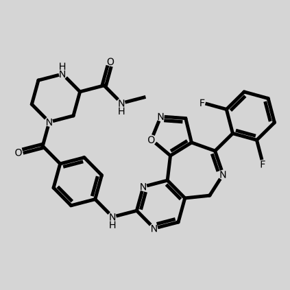 CNC(=O)C1CN(C(=O)c2ccc(Nc3ncc4c(n3)-c3oncc3C(c3c(F)cccc3F)=NC4)cc2)CCN1